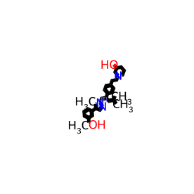 CC(C)=C/C(=C\n1ncc(-c2cccc(C(C)O)c2)c1C)c1ccc(CCN2CCCC(O)C2)cc1